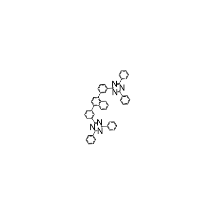 c1ccc(-c2nc(-c3ccccc3)nc(-c3cccc(-c4ccc(-c5cccc(-c6nc(-c7ccccc7)nc(-c7ccccc7)n6)c5)c5ccccc45)c3)n2)cc1